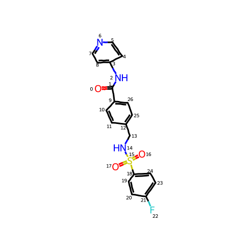 O=C(Nc1ccncc1)c1ccc(CNS(=O)(=O)c2ccc(F)cc2)cc1